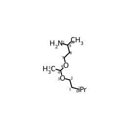 CC(C)CCOC(C)OCCC(C)N